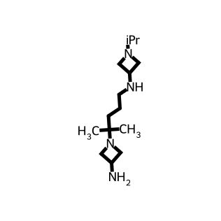 CC(C)N1CC(NCCCC(C)(C)N2CC(N)C2)C1